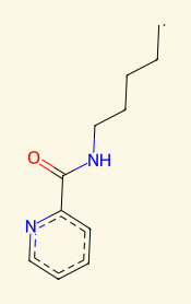 [CH2]CCCCNC(=O)c1ccccn1